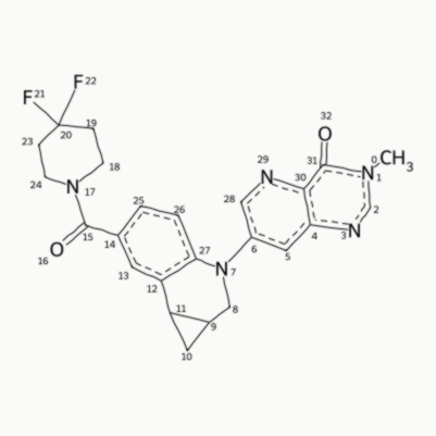 Cn1cnc2cc(N3CC4CC4c4cc(C(=O)N5CCC(F)(F)CC5)ccc43)cnc2c1=O